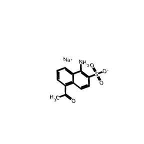 CC(=O)c1cccc2c(N)c(S(=O)(=O)[O-])ccc12.[Na+]